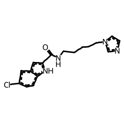 O=C(NCCCCCn1ccnc1)c1cc2cc(Cl)ccc2[nH]1